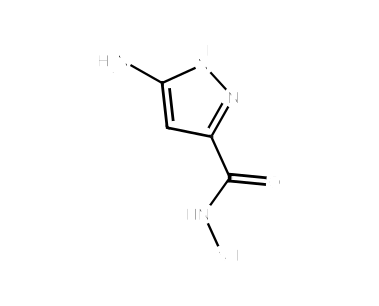 Nc1cc(C(=O)NS)n[nH]1